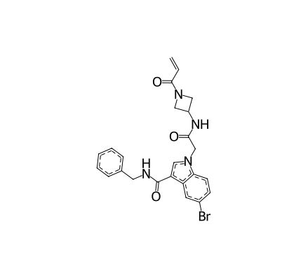 C=CC(=O)N1CC(NC(=O)Cn2cc(C(=O)NCc3ccccc3)c3cc(Br)ccc32)C1